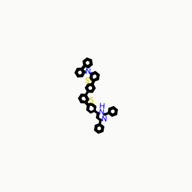 C1=C(C2C=c3sc4c(-c5ccc6c(c5)sc5c(-n7c8ccccc8c8ccccc87)cccc56)cccc4c3=CC2)NC(c2ccccc2)=NC1c1ccccc1